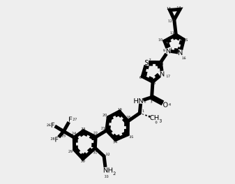 C[C@@H](NC(=O)c1csc(-n2cc(C3CC3)cn2)n1)c1ccc(-c2cc(C(F)(F)F)ccc2CN)cc1